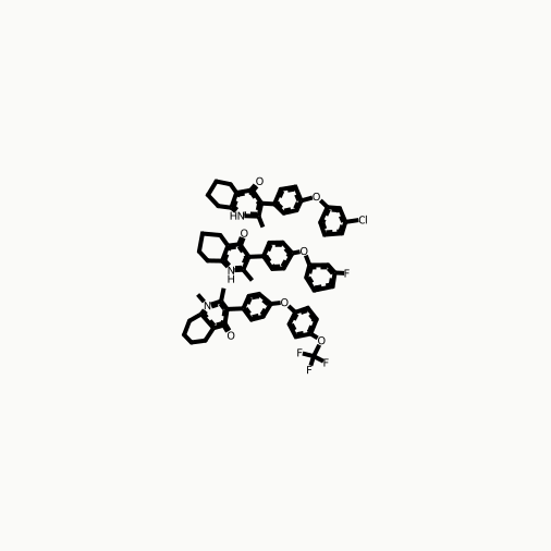 Cc1[nH]c2c(c(=O)c1-c1ccc(Oc3cccc(Cl)c3)cc1)CCCC2.Cc1[nH]c2c(c(=O)c1-c1ccc(Oc3cccc(F)c3)cc1)CCCC2.Cc1c(-c2ccc(Oc3ccc(OC(F)(F)F)cc3)cc2)c(=O)c2c(n1C)CCCC2